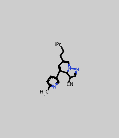 Cc1ccc(C2=CC(CCC(C)C)=CN3N=CC(C#N)C23)cn1